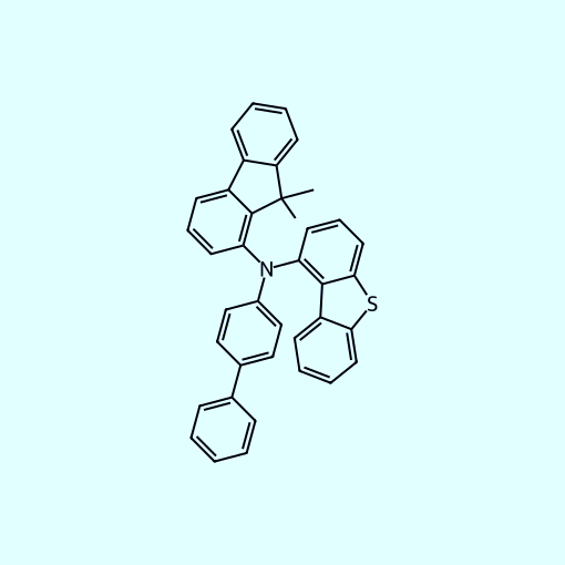 CC1(C)c2ccccc2-c2cccc(N(c3ccc(-c4ccccc4)cc3)c3cccc4sc5ccccc5c34)c21